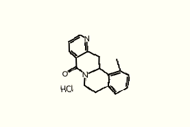 Cc1cccc2c1C1Cc3ncccc3C(=O)N1CC2.Cl